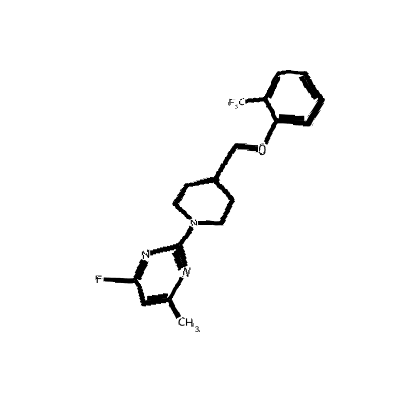 Cc1cc(F)nc(N2CCC(COc3ccccc3C(F)(F)F)CC2)n1